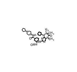 COc1cc(C(=O)NN2CCN(C3CCCC3)CC2)ccc1Nc1ncc2c(n1)N(c1ccccc1)CC(C)(C)C(=O)N2C